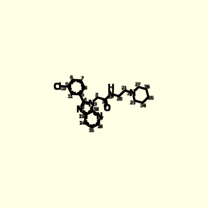 O=C(Cn1c(-c2cccc(Cl)c2)nc2cccnc21)NCCN1CCCCC1